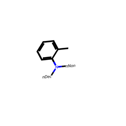 CCCCCCCCCCN(CCCCCCCCC)c1ccccc1C